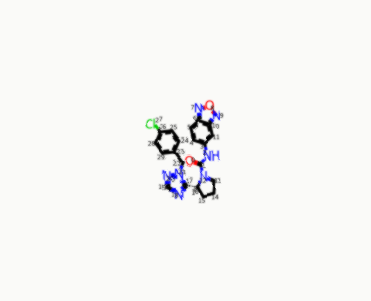 O=C(Nc1ccc2nonc2c1)N1CCC[C@@H]1c1ncnn1Cc1ccc(Cl)cc1